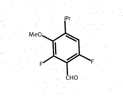 COc1c(C(C)C)cc(F)c(C=O)c1F